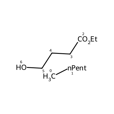 CCCCCC.CCOC(=O)CCCO